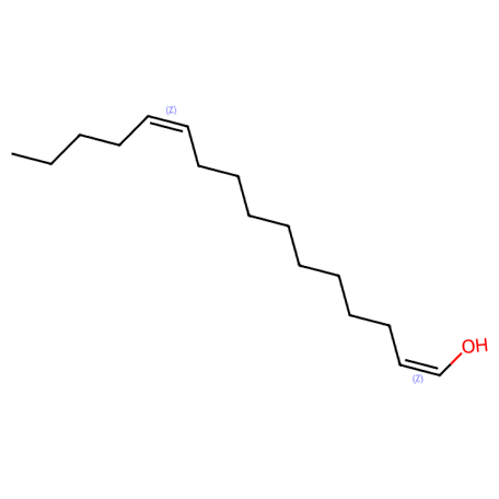 CCCC/C=C\CCCCCCCC/C=C\O